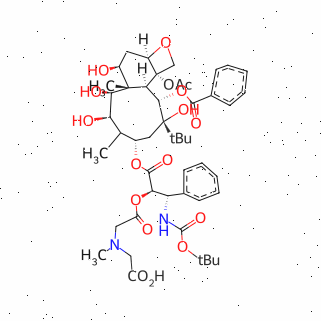 CC(=O)O[C@@]12CO[C@@H]1C[C@H](O)[C@@]1(C)[C@H](O)[C@H](O)C(C)[C@@H](OC(=O)[C@H](OC(=O)CN(C)CC(=O)O)[C@@H](NC(=O)OC(C)(C)C)c3ccccc3)C[C@](O)(C(C)(C)C)[C@@H](OC(=O)c3ccccc3)[C@H]21